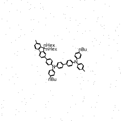 CCCCCCC1(CCCCCC)c2cc(C)ccc2-c2ccc(-c3ccc(N(c4ccc(CCCC)cc4)c4ccc(-c5ccc(N(c6ccc(C)cc6)c6ccc(CCCC)cc6)cc5)cc4)cc3)cc21